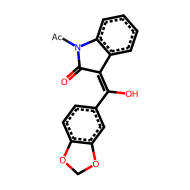 CC(=O)N1C(=O)C(=C(O)c2ccc3c(c2)OCO3)c2ccccc21